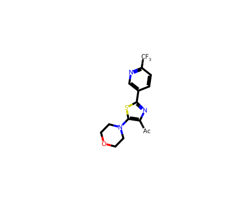 CC(=O)c1nc(-c2ccc(C(F)(F)F)nc2)sc1N1CCOCC1